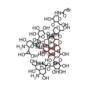 CC1C(O)[C@H](O[C@@H]2OC(CO[C@]3(C(N)=O)C[C@@H](O)[C@@H](N)C(C4C(O)C4O)O3)[C@H](O)C(O)[C@@H]2O)[C@H](CO)O[C@H]1O[C@@H]1C(O)[C@H](O)C(CO)O[C@@H]1OCC1O[C@@H](O[C@@H]2C(CO)O[C@@H](O[C@@H]3C(CO)O[C@@H](NC(=O)CBr)[C@@H](C)C3O)[C@@H](C)C2O)[C@H](O)C(O[C@H]2O[C@H](CO)[C@@H](O)C(O)C2O[C@@H]2OC(CO)[C@@H](O[C@@H]3OC(CO[C@]4(C(N)=O)C[C@@H](O)[C@@H](N)C([C@H](O)C(O)CO)O4)[C@H](O)C(O)[C@@H]3O)C(O)[C@@H]2C)[C@@H]1O